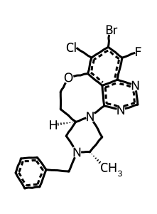 C[C@H]1CN2c3ncnc4c(F)c(Br)c(Cl)c(c34)OCC[C@@H]2CN1Cc1ccccc1